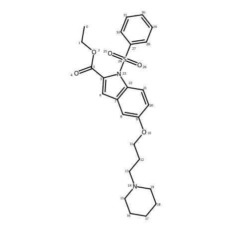 CCOC(=O)c1cc2cc(OCCCN3CCCCC3)ccc2n1S(=O)(=O)c1ccccc1